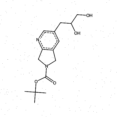 CC(C)(C)OC(=O)N1Cc2cc(CC(O)CO)cnc2C1